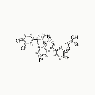 CC(C)(c1ccc(Cl)c(Cl)c1)c1cnc(SCc2ccc(F)c(OCC(=O)O)c2)n1-c1ccc(F)cc1